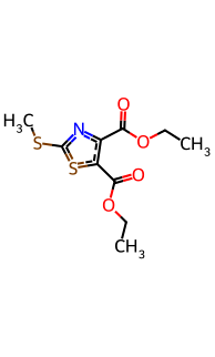 CCOC(=O)c1nc(SC)sc1C(=O)OCC